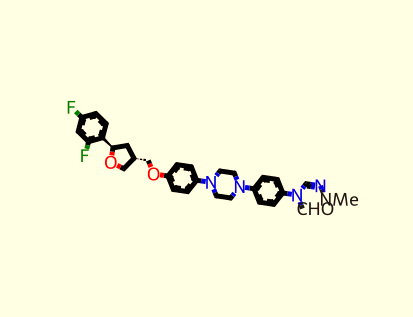 CN/N=C\N(C=O)c1ccc(N2CCN(c3ccc(OC[C@@H]4CO[C@@H](c5ccc(F)cc5F)C4)cc3)CC2)cc1